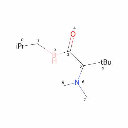 CC(C)CBC(=O)C(N(C)C)C(C)(C)C